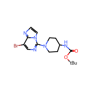 CC(C)(C)OC(=O)NC1CCN(c2ncc(Br)c3nccn23)CC1